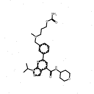 CC(C)n1ncc2c(C(=O)NC3CCOCC3)cc(-c3cccc(CN(C)CCCOC(N)=O)c3)nc21